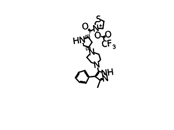 Cc1n[nH]c(N2CCN([C@@H]3CN[C@H](C(=O)[N+]4(OC(=O)C(F)(F)F)CCSC4)C3)CC2)c1-c1ccccc1